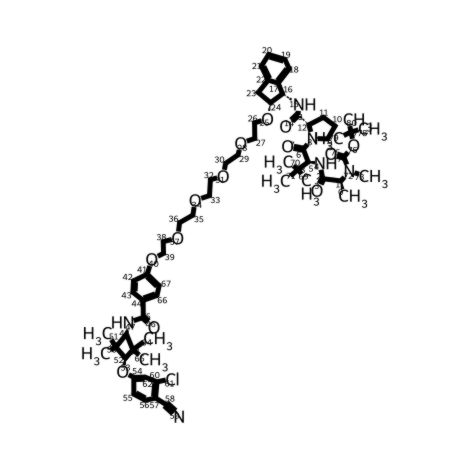 C[C@@H](C(=O)N[C@H](C(=O)N1CCC[C@H]1C(=O)N[C@H]1c2ccccc2C[C@H]1OCCOCCOCCOCCOCCOc1ccc(C(=O)N[C@H]2C(C)(C)[C@H](Oc3ccc(C#N)c(Cl)c3)C2(C)C)cc1)C(C)(C)C)N(C)C(=O)OC(C)(C)C